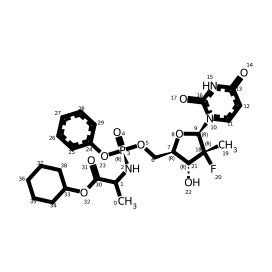 CC(N[P@@](=O)(OC[C@H]1O[C@@H](n2ccc(=O)[nH]c2=O)[C@](C)(F)[C@@H]1O)Oc1ccccc1)C(=O)OC1CCCCC1